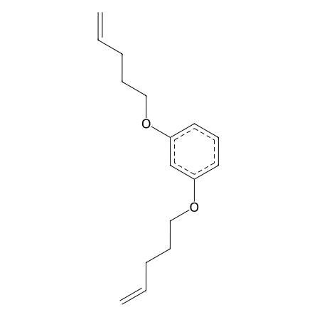 C=CCCCOc1cccc(OCCCC=C)c1